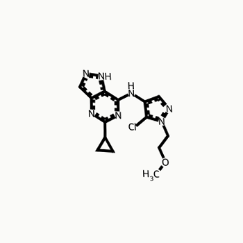 COCCn1ncc(Nc2nc(C3CC3)nc3cn[nH]c23)c1Cl